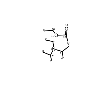 CCN(C(C)C)C(C)C.CCOC(C)=O